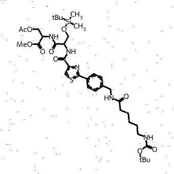 COC(=O)C(COC(C)=O)NC(=O)C(CO[Si](C)(C)C(C)(C)C)NC(=O)c1csc(-c2ccc(CNC(=O)CCCCCNC(=O)OC(C)(C)C)cc2)n1